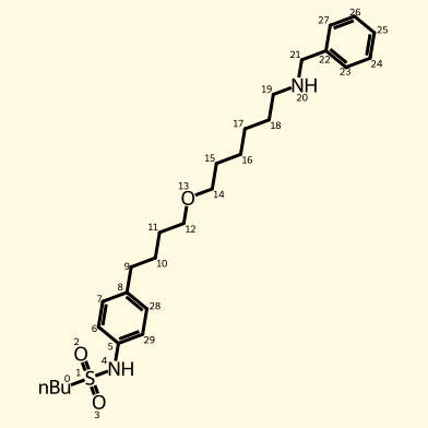 CCCCS(=O)(=O)Nc1ccc(CCCCOCCCCCCNCc2ccccc2)cc1